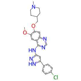 COc1cc2c(Nc3cc(-c4ccc(Cl)cc4)[nH]n3)ncnc2cc1OCC1CCN(C)CC1